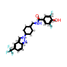 O=C(NCC1CCC(n2cc3cc(C(F)(F)F)ccc3n2)CC1)c1cc(F)c(O)c(F)c1